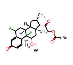 CCCCC(=O)OCC(=O)[C@H]1[C@H](C)C[C@H]2[C@@H]3C[C@H](F)C4=CC(=O)C=C[C@]4(C)[C@@]3(F)[C@@H](O)C[C@@]21C.[W]